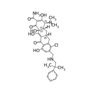 CN(C)[C@@H]1C(O)=C(C(N)=O)C(=O)[C@@]2(O)C(O)=C3C(=O)c4c(O)cc(CNCC(C)(C)c5ccccc5)c(Cl)c4C[C@H]3C[C@@H]12